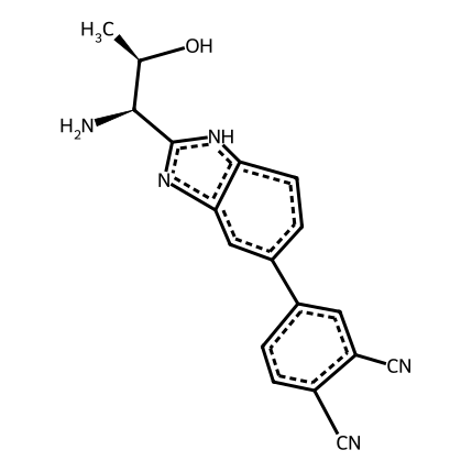 C[C@@H](O)[C@H](N)c1nc2cc(-c3ccc(C#N)c(C#N)c3)ccc2[nH]1